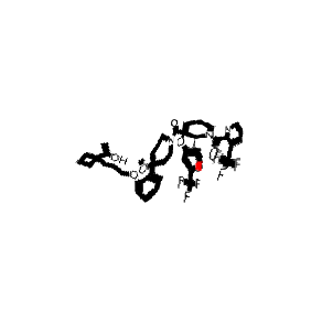 C=C(O)C1(CCCOc2ccccc2C2(OC)CCN(C(=O)[C@]3(Oc4csc(C(F)(F)F)c4)CCCN(C(=O)c4ncccc4C(F)(F)F)[C@@H]3CCC)CC2)CCC1